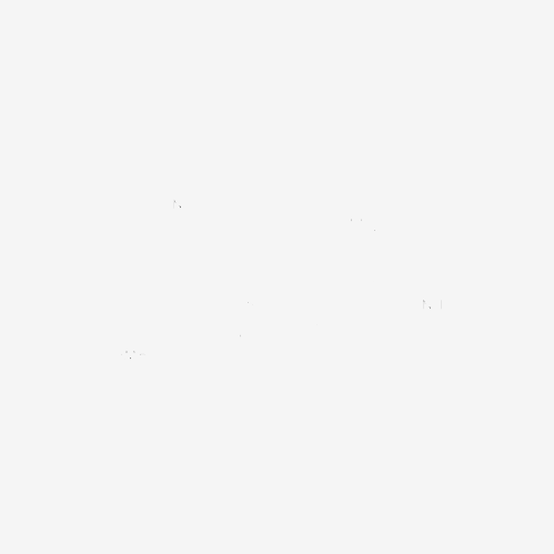 COc1ccc2nccc(C(=O)CCC3CCNCC3CC(=O)O)c2c1